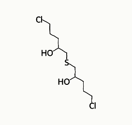 OC(CCCCl)CSCC(O)CCCCl